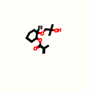 C=C(C)C(=O)OC1CCCCC1(CC)OCC(C)(C)O